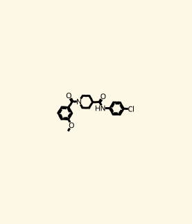 COc1cccc(C(=O)N2CCC(C(=O)Nc3ccc(Cl)cc3)CC2)c1